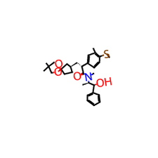 CSc1ccc([C@@H](C[C@H]2CCC3(C2)OCC(C)(C)CO3)C(=O)N(C)[C@H](C)[C@@H](O)c2ccccc2)cc1C